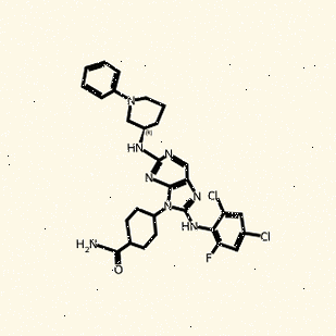 NC(=O)C1CCC(n2c(Nc3c(F)cc(Cl)cc3Cl)nc3cnc(N[C@@H]4CCCN(c5ccccc5)C4)nc32)CC1